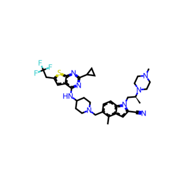 Cc1c(CN2CCC(Nc3nc(C4CC4)nc4sc(CC(F)(F)F)cc34)CC2)ccc2c1cc(C#N)n2C[C@H](C)N1CCN(C)CC1